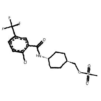 CS(=O)(=O)OC[C@H]1CC[C@H](NC(=O)c2cc(C(F)(F)F)ccc2Cl)CC1